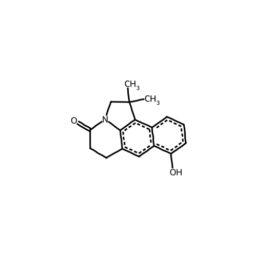 CC1(C)CN2C(=O)CCc3cc4c(O)cccc4c1c32